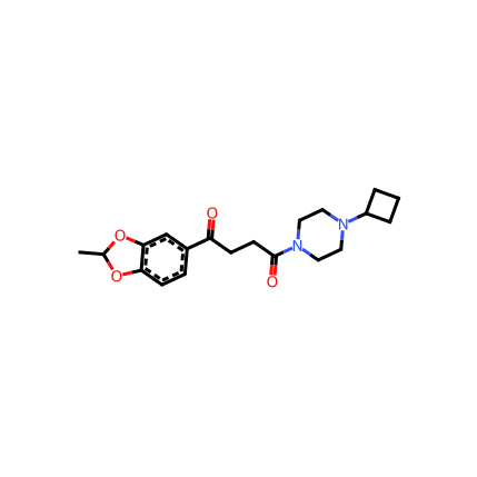 CC1Oc2ccc(C(=O)CCC(=O)N3CCN(C4CCC4)CC3)cc2O1